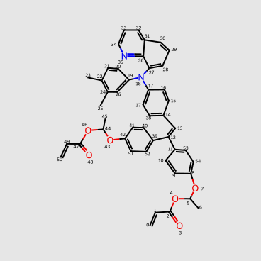 C=CC(=O)OC(C)Oc1ccc(C(=Cc2ccc(N(c3ccc(C)c(C)c3)c3cccc4cccnc34)cc2)c2ccc(OC(C)OC(=O)C=C)cc2)cc1